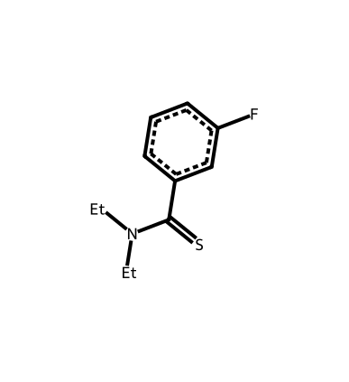 CCN(CC)C(=S)c1cccc(F)c1